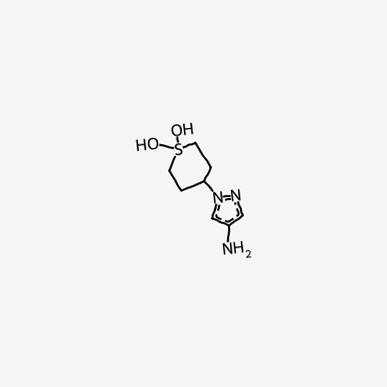 Nc1cnn(C2CCS(O)(O)CC2)c1